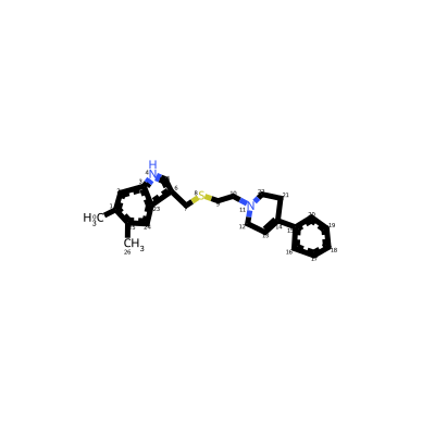 Cc1cc2[nH]cc(CSCCN3CC=C(c4ccccc4)CC3)c2cc1C